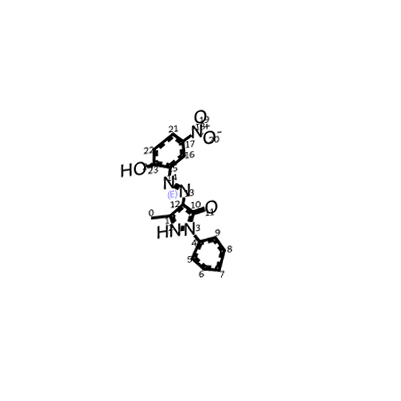 Cc1[nH]n(-c2ccccc2)c(=O)c1/N=N/c1cc([N+](=O)[O-])ccc1O